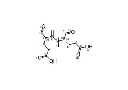 O=C[C@H](CCC(=O)O)NN[C@H](C=O)CCC(=O)O